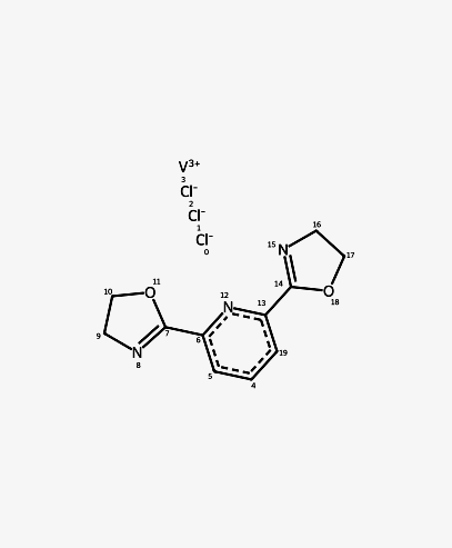 [Cl-].[Cl-].[Cl-].[V+3].c1cc(C2=NCCO2)nc(C2=NCCO2)c1